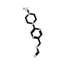 CN1CCN(c2cnc(COC=O)cn2)CC1